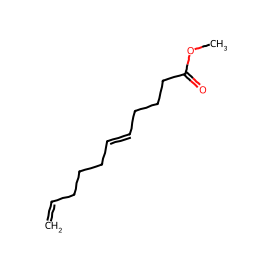 C=CCCCC=CCCCC(=O)OC